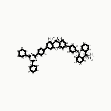 CC1(C)c2ccc(-c3ccc(-c4nc(-c5ccccc5)nc(-c5ccccc5)n4)cc3)cc2Oc2cc(-c3ccc(N4c5ccccc5C(C)(C)c5ccccc54)cc3)ccc21